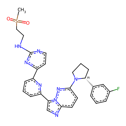 CS(=O)(=O)CCNc1nccc(-c2cccc(-c3cnc4ccc(N5CCC[C@@H]5c5cccc(F)c5)nn34)n2)n1